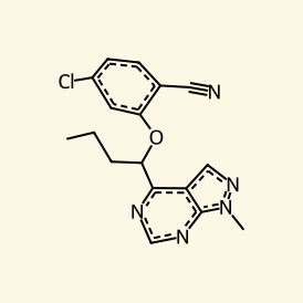 CCCC(Oc1cc(Cl)ccc1C#N)c1ncnc2c1cnn2C